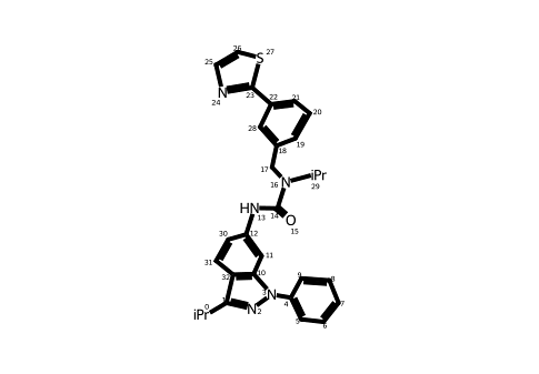 CC(C)c1nn(-c2ccccc2)c2cc(NC(=O)N(Cc3cccc(-c4nccs4)c3)C(C)C)ccc12